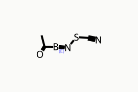 CC(=O)/B=N/SC#N